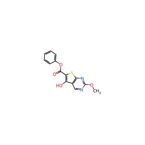 COc1ncc2c(O)c(C(=O)Oc3ccccc3)sc2n1